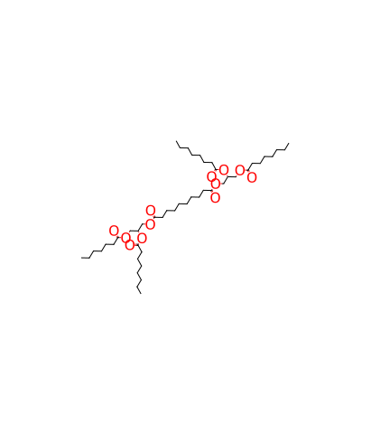 CCCCCCCC(=O)OCC(COC(=O)CCCCCCCCC(=O)OCC(COC(=O)CCCCCC)OC(=O)CCCCCCC)OC(=O)CCCCCCC